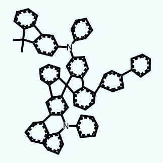 CC1(C)c2ccccc2-c2cc(N(c3ccccc3)c3ccc4c(c3)C3(c5ccccc5-c5cc(-c6ccccc6)c(N(c6ccccc6)c6ccccc6)cc53)c3cccc(-c5ccc(-c6ccccc6)cc5)c3-4)ccc21